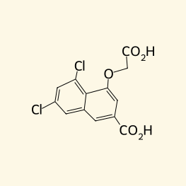 O=C(O)COc1cc(C(=O)O)cc2cc(Cl)cc(Cl)c12